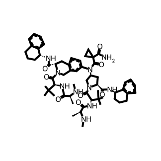 CN[C@@H](C)C(=O)N[C@H](C(=O)N1Cc2cc(N(C(=O)C3(C(N)=O)CC3)[C@H]3C[C@@H](C(=O)N[C@@H]4CCCc5ccccc54)N(C(=O)[C@@H](NC(=O)[C@H](C)NC)C(C)(C)C)C3)ccc2C[C@H]1C(=O)N[C@@H]1CCCc2ccccc21)C(C)(C)C